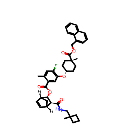 Cc1cc(F)c(O[C@H]2CC[C@@](C)(C(=O)OCc3cccc4ccccc34)CC2)cc1C(=O)O[C@H]1[C@@H](C(=O)NCC2(C)CCC2)[C@@H]2C=C[C@H]1C2